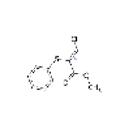 COC(=O)/C(=C/Cl)Sc1ccccc1